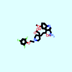 COc1ccc2ncc(CN)c([C@@H](O)CCC3(CC(=O)O)CCN(CCOc4c(F)cc(F)cc4F)CC3)c2c1